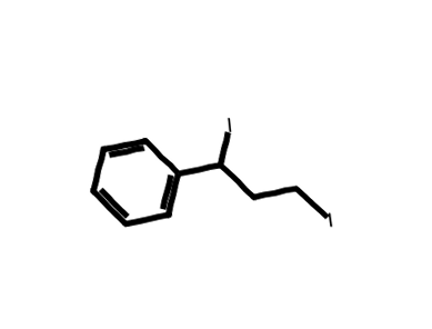 ICCC(I)c1ccccc1